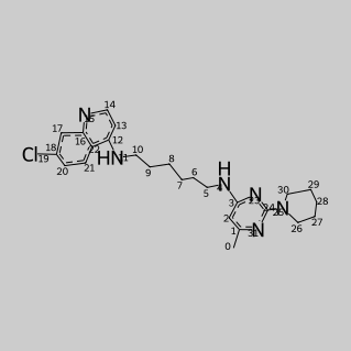 Cc1cc(NCCCCCCNc2ccnc3cc(Cl)ccc23)nc(N2CCCCC2)n1